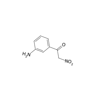 Nc1cccc(C(=O)C[N+](=O)[O-])c1